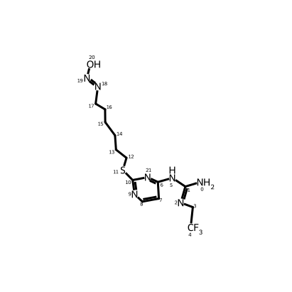 NC(=NCC(F)(F)F)Nc1ccnc(SCCCCCCN=NO)n1